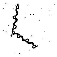 COCCOCCOCN(C)COCCOCCOC